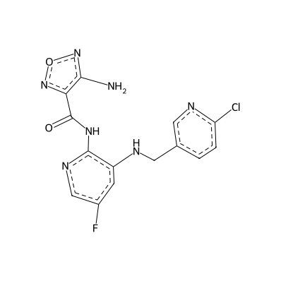 Nc1nonc1C(=O)Nc1ncc(F)cc1NCc1ccc(Cl)nc1